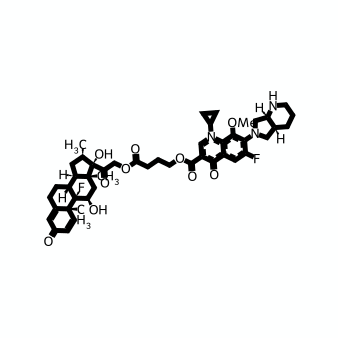 COc1c(N2C[C@@H]3CCCN[C@@H]3C2)c(F)cc2c(=O)c(C(=O)OCCCC(=O)OCC(=O)[C@]3(O)[C@@H](C)C[C@@H]4[C@H]5CCC6=CC(=O)C=C[C@@]6(C)[C@]5(F)[C@H](O)C[C@]43C)cn(C3CC3)c12